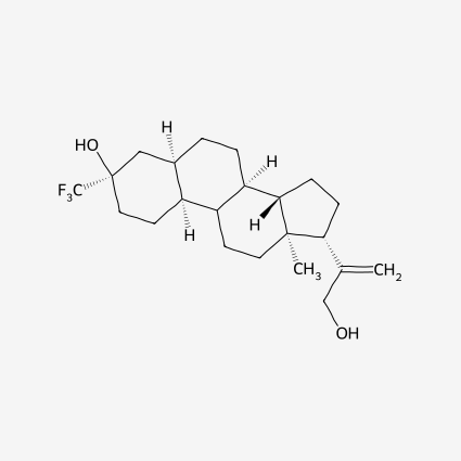 C=C(CO)[C@H]1CC[C@H]2[C@@H]3CC[C@@H]4C[C@@](O)(C(F)(F)F)CC[C@@H]4C3CC[C@]12C